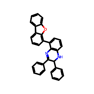 c1ccc(C2=Nc3c(cccc3-c3cccc4c3oc3ccccc34)NC2c2ccccc2)cc1